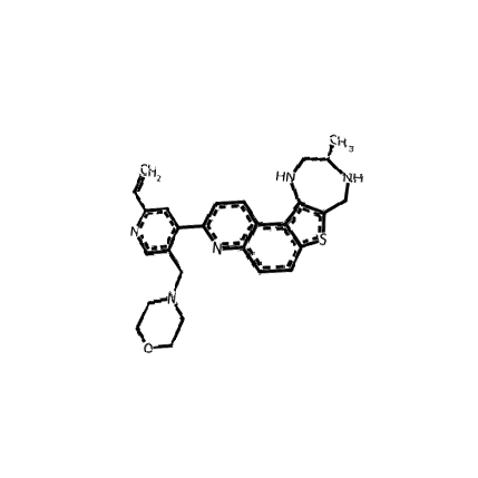 C=Cc1cc(-c2ccc3c(ccc4sc5c(c43)NC[C@@H](C)NC5)n2)c(CN2CCOCC2)cn1